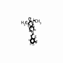 CCN1CC2(CCN(CCc3cccc(F)c3F)CC2)O[C@H](C)C1=O